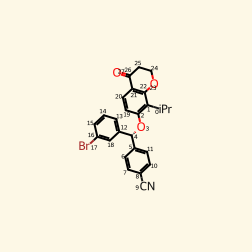 CC(C)c1c(O[C@H](c2ccc(C#N)cc2)c2cccc(Br)c2)ccc2c1OCCC2=O